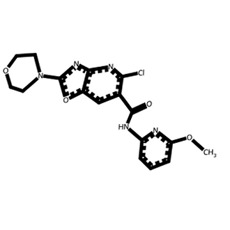 COc1cccc(NC(=O)c2cc3oc(N4CCOCC4)nc3nc2Cl)n1